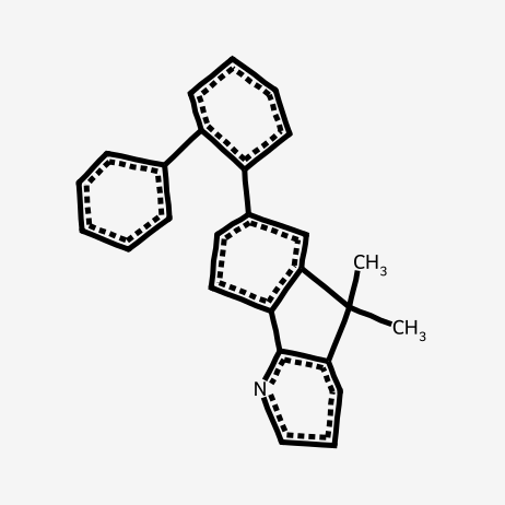 CC1(C)c2cc(-c3ccccc3-c3ccccc3)ccc2-c2ncccc21